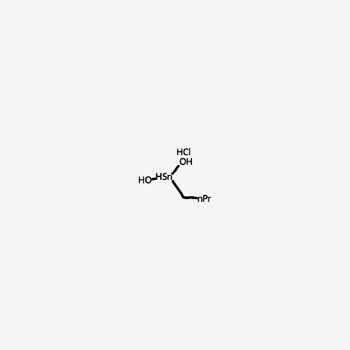 CCC[CH2][SnH]([OH])[OH].Cl